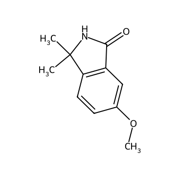 COc1ccc2c(c1)C(=O)NC2(C)C